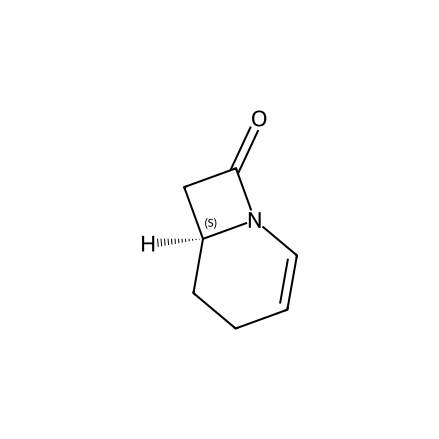 O=C1C[C@@H]2CCC=CN12